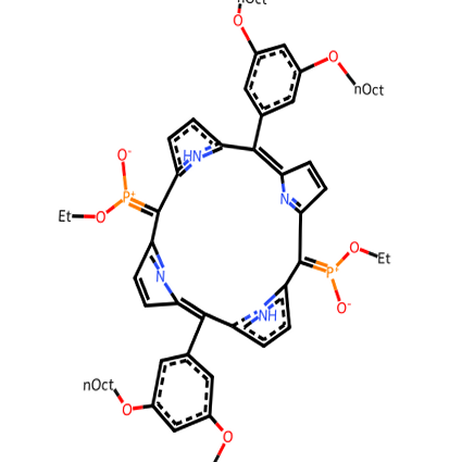 CCCCCCCCOc1cc(OCCCCCCCC)cc(C2=C3C=CC(=N3)C(=[P+]([O-])OCC)c3ccc([nH]3)C(c3cc(OCCCCCCCC)cc(OCCCCCCCC)c3)=C3C=CC(=N3)C(=[P+]([O-])OCC)c3ccc2[nH]3)c1